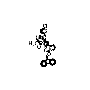 CC(C)(CO)C(=O)n1nc(C2CCCN2C(=O)OCC2c3ccccc3-c3ccccc32)cc1NCc1ccc(Cl)s1